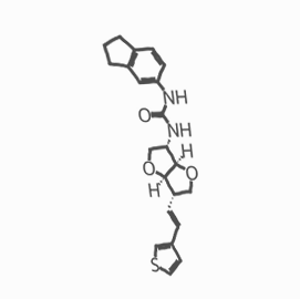 O=C(Nc1ccc2c(c1)CCC2)N[C@H]1CO[C@H]2[C@@H]1OC[C@@H]2C=Cc1ccsc1